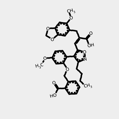 CCCCc1noc(C=C(Cc2cc3c(cc2OC)OCO3)C(=O)O)c1-c1ccc(OC)cc1OCc1ccccc1C(=O)O